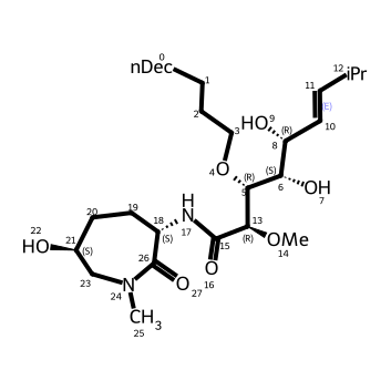 CCCCCCCCCCCCCO[C@H]([C@@H](O)[C@H](O)/C=C/C(C)C)[C@@H](OC)C(=O)N[C@H]1CC[C@H](O)CN(C)C1=O